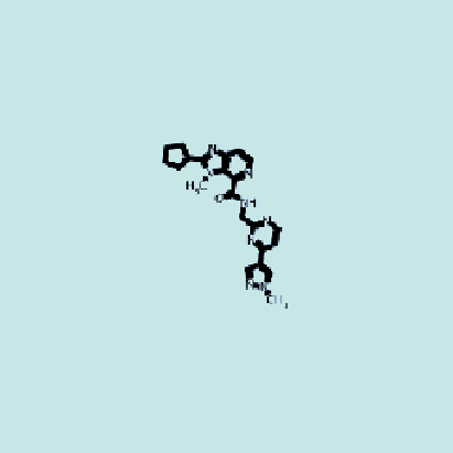 Cn1cc(-c2ccnc(CNC(=O)c3nccc4nc(C5CCCC5)n(C)c34)n2)cn1